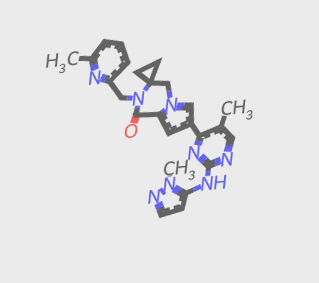 Cc1cccc(CN2C(=O)c3cc(-c4nc(Nc5ccnn5C)ncc4C)cn3CC23CC3)n1